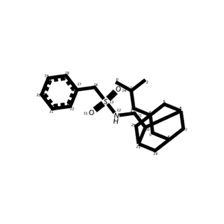 CC(C)CC12CC3CC(C1)C(CNS(=O)(=O)Cc1ccccc1)C(C3)C2